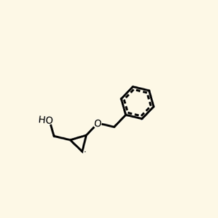 OCC1[CH]C1OCc1ccccc1